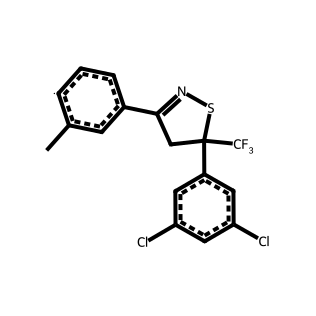 Cc1[c]ccc(C2=NSC(c3cc(Cl)cc(Cl)c3)(C(F)(F)F)C2)c1